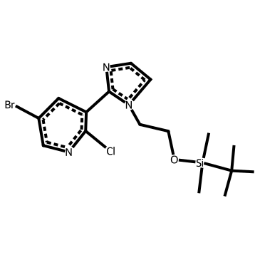 CC(C)(C)[Si](C)(C)OCCn1ccnc1-c1cc(Br)cnc1Cl